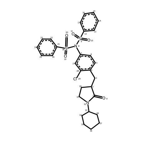 O=C1C(Cc2ccc(N(S(=O)(=O)c3ccccc3)S(=O)(=O)c3ccccc3)cc2Cl)CCN1C1CCCCC1